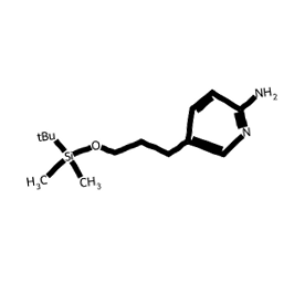 CC(C)(C)[Si](C)(C)OCCCc1ccc(N)nc1